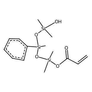 C=CC(=O)O[Si](C)(C)O[Si](C)(O[Si](C)(C)O)c1ccccc1